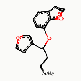 CNCCC(Oc1cccc2ccoc12)c1ccoc1